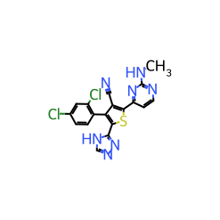 CNc1nccc(-c2sc(-c3nnc[nH]3)c(-c3ccc(Cl)cc3Cl)c2C#N)n1